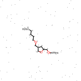 [CH2]CCCCCOCC1CC(COCCCCCCCCCCCCCC)CO1